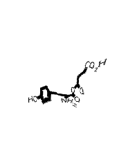 NC(Cc1ccc(O)cc1)C(=O)OC(=O)CCC(=O)O